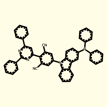 N#Cc1cc(-n2c3ccccc3c3cc(N(c4ccccc4)c4ccccc4)ccc32)cc(C#N)c1-c1cc(-c2ccccc2)nc(-c2ccccc2)n1